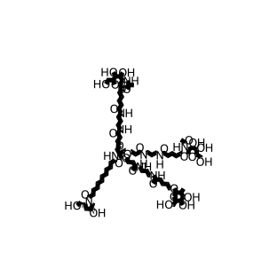 CC(=O)NC1C(OCCCCC(=O)NCCCNC(=O)CCOCC(COCCC(=O)NCCCNC(=O)CCCCOC2OC(CO)C(O)C(O)C2C)(COCCC(=O)NCCCNC(=O)CCCCOC2OC(CO)C(O)C(O)C2NC(C)=O)NC(=O)CCCCCCCCCCC(=O)N2C[C@H](O)C[C@H]2CO)OC(CO)C(O)C1O